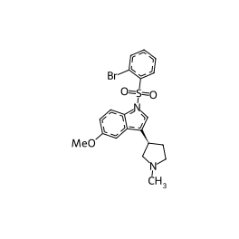 COc1ccc2c(c1)c([C@H]1CCN(C)C1)cn2S(=O)(=O)c1ccccc1Br